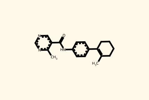 CC1=C(c2ccc(NC(=O)c3cncnc3C)cc2)CCCC1